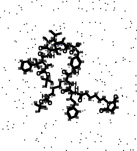 C/C(=C\[C@H](C(C)C)N(C)C(=O)[C@@H](NC(=O)[C@@H](N(C)C(=O)OC(C)(C)C)C(C)(C)c1ccccc1)C(C)(C)C)C(=O)NS(=O)(=O)Cc1ccc(NC(=O)[C@H](CCCCNC(=O)OC(C)(C)C)NC(=O)[C@H](CCc2ccccc2)NC(=O)CCCCCN2C(=O)C=CC2=O)cc1